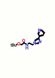 CC(C)(C)OCC(=O)NCCn1cnc(-c2cccnc2)c1